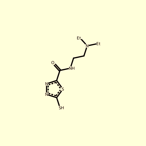 CCN(CC)CCNC(=O)c1nnc(S)s1